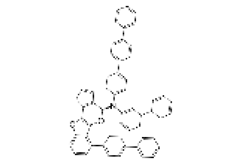 C1=CCC(C2C=C(N(C3=CC=C(c4ccc(-c5ccccc5)cc4)CC3)[C@H]3Oc4c(oc5cccc(C6=CC=C(c7ccccc7)CC6)c45)C4=C3C=CC4)C=CC2)C=C1